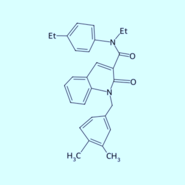 CCc1ccc(N(CC)C(=O)c2cc3ccccc3n(Cc3ccc(C)c(C)c3)c2=O)cc1